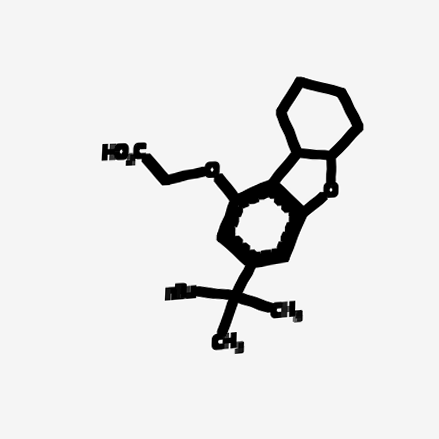 CCCCC(C)(C)c1cc(OCC(=O)O)c2c(c1)OC1CCCCC21